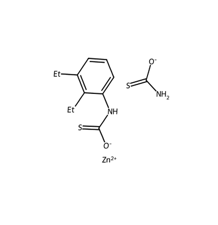 CCc1cccc(NC([O-])=S)c1CC.NC([O-])=S.[Zn+2]